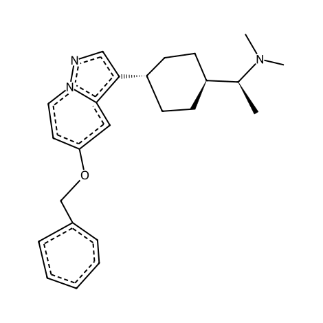 C[C@@H]([C@H]1CC[C@H](c2cnn3ccc(OCc4ccccc4)cc23)CC1)N(C)C